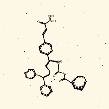 O=C(C=Cc1ccc(C(CCC(c2ccccc2)c2ccccc2)NC(=O)NC(=O)c2ccccc2)cc1)NO